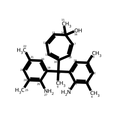 Cc1cc(C)c(N)c(C(C)(C2=CC=CC(C)(O)C=C2)c2cc(C)cc(C)c2N)c1